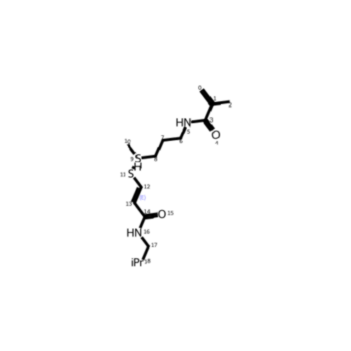 C=C(C)C(=O)NCCC[SH](C)S/C=C/C(=O)NCC(C)C